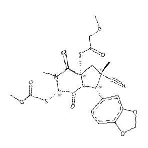 COCC(=O)S[C@]12C[C@](C)(C#N)[C@H](c3ccc4c(c3)OCO4)N1C(=O)[C@H](SC(=O)OC)N(C)C2=O